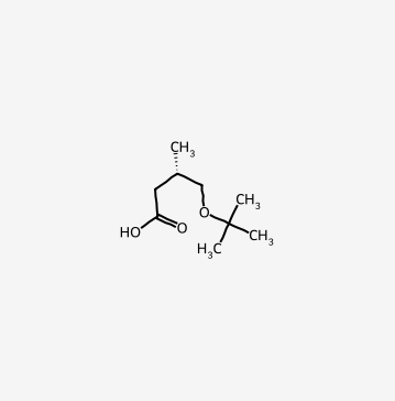 C[C@H](COC(C)(C)C)CC(=O)O